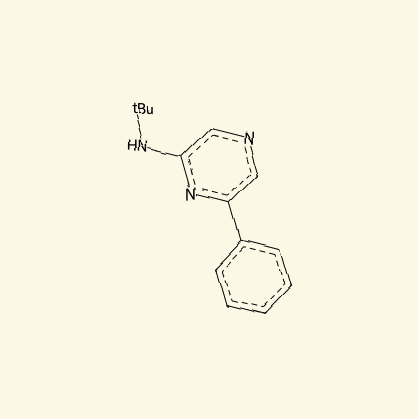 CC(C)(C)Nc1cncc(-c2ccccc2)n1